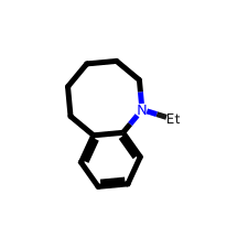 CCN1CCCCCc2ccccc21